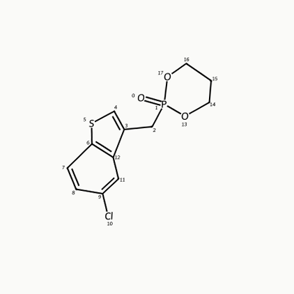 O=P1(Cc2csc3ccc(Cl)cc23)OCCCO1